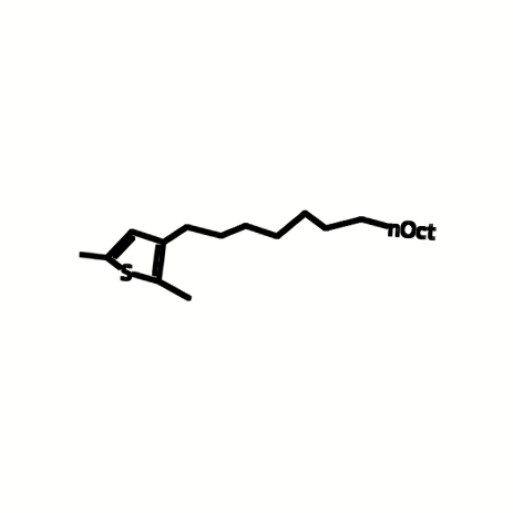 CCCCCCCCCCCCCCCc1cc(C)sc1C